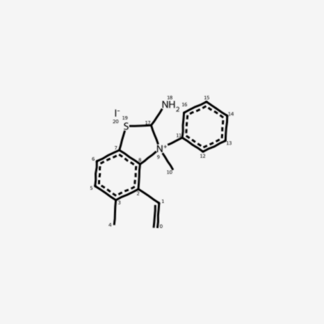 C=Cc1c(C)ccc2c1[N+](C)(c1ccccc1)C(N)S2.[I-]